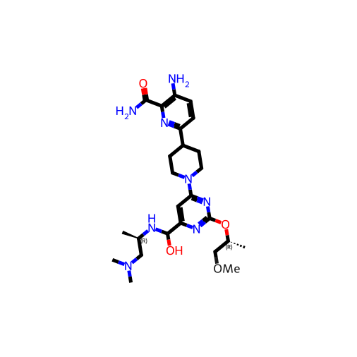 COC[C@@H](C)Oc1nc(C(O)N[C@H](C)CN(C)C)cc(N2CCC(c3ccc(N)c(C(N)=O)n3)CC2)n1